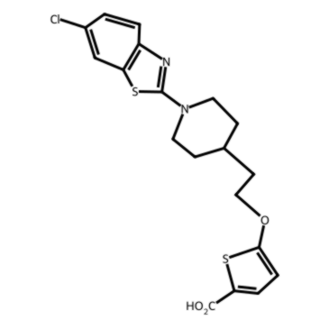 O=C(O)c1ccc(OCCC2CCN(c3nc4ccc(Cl)cc4s3)CC2)s1